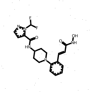 O=C(/C=C/c1ccccc1N1CCC(NC(=O)c2ccnn2C(F)F)CC1)NO